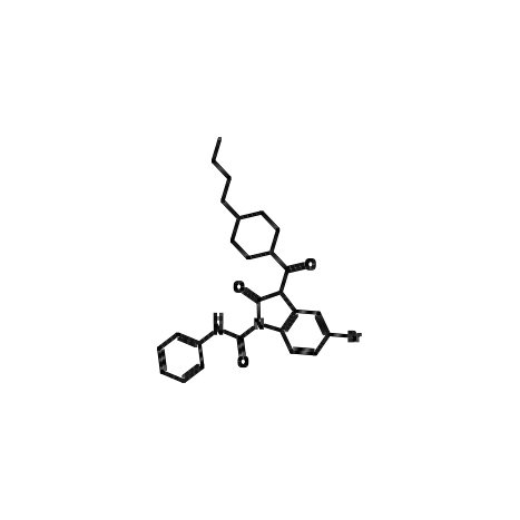 CCCCC1CCC(C(=O)C2C(=O)N(C(=O)Nc3ccccc3)c3ccc(Br)cc32)CC1